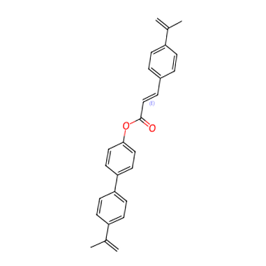 C=C(C)c1ccc(/C=C/C(=O)Oc2ccc(-c3ccc(C(=C)C)cc3)cc2)cc1